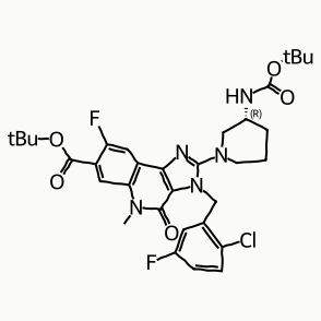 Cn1c(=O)c2c(nc(N3CCC[C@@H](NC(=O)OC(C)(C)C)C3)n2Cc2cc(F)ccc2Cl)c2cc(F)c(C(=O)OC(C)(C)C)cc21